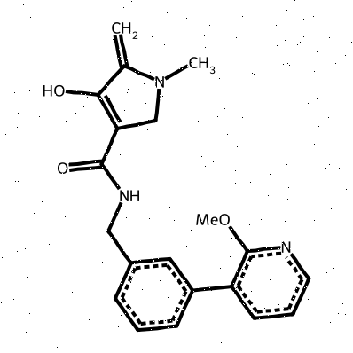 C=C1C(O)=C(C(=O)NCc2cccc(-c3cccnc3OC)c2)CN1C